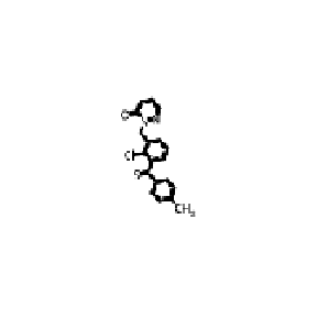 Cc1ccc(C(=S)c2cccc(Cn3ncccc3=O)c2Cl)cc1